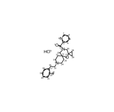 Cl.O=C(c1ccccn1)N1CC2(CCN(CCc3ccccc3F)CC2)OC2(CC2)C1